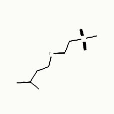 CC(C)CCNCCS(C)(=O)=O